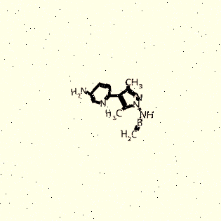 C=BNn1nc(C)c(-c2ccc(N)cn2)c1C